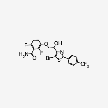 NC(=O)c1c(F)ccc(OCC(O)c2nc(-c3ccc(C(F)(F)F)cc3)sc2Br)c1F